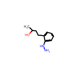 CC(O)CCc1ccccc1NN